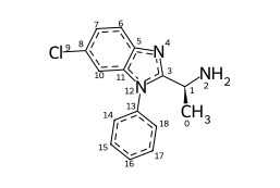 C[C@H](N)c1nc2ccc(Cl)cc2n1-c1ccccc1